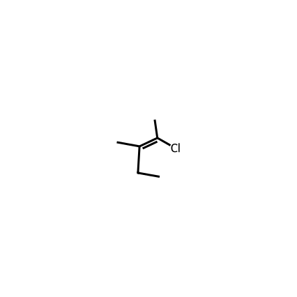 CCC(C)=C(C)Cl